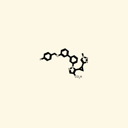 Cn1cc(C2CC2c2c(C(=O)O)cnn2-c2cccc(-c3cccc(OCc4ccc(F)cc4)c3)c2)nn1